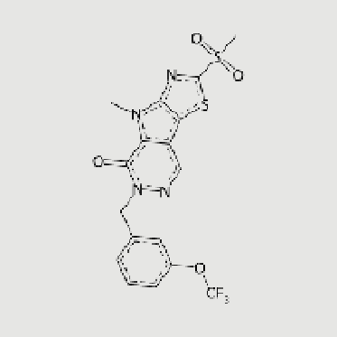 Cn1c2nc(S(C)(=O)=O)sc2c2cnn(Cc3cccc(OC(F)(F)F)c3)c(=O)c21